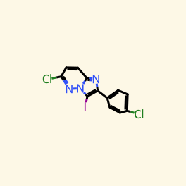 Clc1ccc(-c2nc3ccc(Cl)nn3c2I)cc1